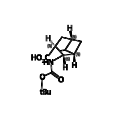 CC1[C@@H]2C[C@H](C(=O)O)[C@@H](NC(=O)OC(C)(C)C)[C@H]1C2